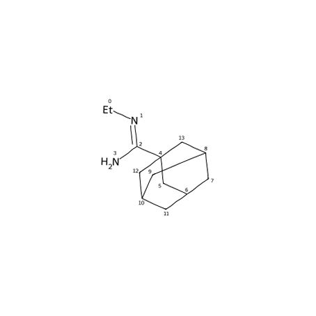 CC/N=C(\N)C12CC3CC(CC(C3)C1)C2